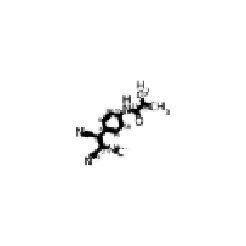 [C-]#[N+]/C(C#N)=C(/C#N)c1ccc(NC(=O)C(=C)C)cc1